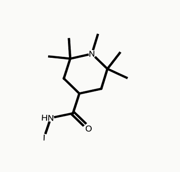 CN1C(C)(C)CC(C(=O)NI)CC1(C)C